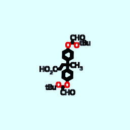 CC(C)(C)OC(C=O)Oc1ccc(C(C)(CCC(=O)O)c2ccc(OC(C=O)OC(C)(C)C)cc2)cc1